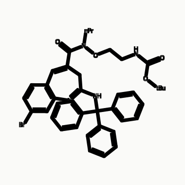 CCCN(OCCNC(=O)OC(C)(C)C)C(=O)C1=Cc2ccc(Br)cc2N=C(NC(c2ccccc2)(c2ccccc2)c2ccccc2)C1